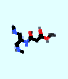 C=N/C=C(\C=N/C)NC(=O)CC(=O)OC(C)(C)C